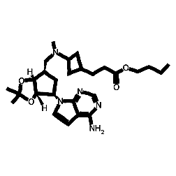 CCCCOC(=O)CCC1CC(N(C)C[C@H]2C[C@@H](n3ccc4c(N)ncnc43)[C@@H]3OC(C)(C)O[C@H]23)C1